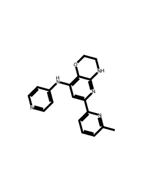 Cc1cccc(-c2cc(Nc3ccncc3)c3c(n2)NCCO3)n1